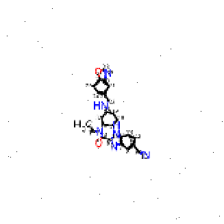 CCN(C(=O)c1nc2cc(C#N)ccc2[nH]1)[C@H]1CCC[C@@H](NCc2ccc3ocnc3c2)C1